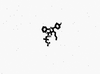 CCCCC1C(c2ccc(F)cc2)=NN(c2ccccc2)C1(C)C(=O)NCC(C)(C)CN(C)C